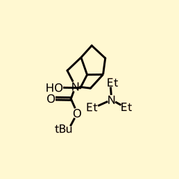 CC(C)(C)OC(=O)N1CC2CCC(C1)C2CO.CCN(CC)CC